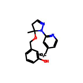 CC1(OCc2cccc(O)c2)CC=NN1c1cc(C(=O)O)ccn1